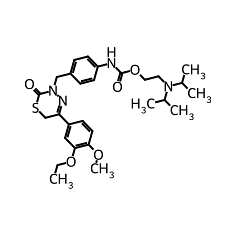 CCOc1cc(C2=NN(Cc3ccc(NC(=O)OCCN(C(C)C)C(C)C)cc3)C(=O)SC2)ccc1OC